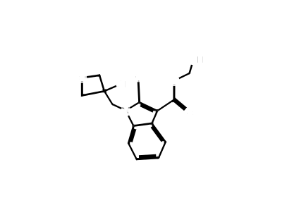 CCOC(=O)c1c(C)n(CC2(C)COC2)c2ccccc12